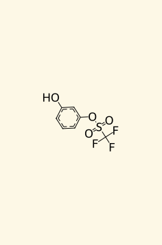 O=S(=O)(Oc1cccc(O)c1)C(F)(F)F